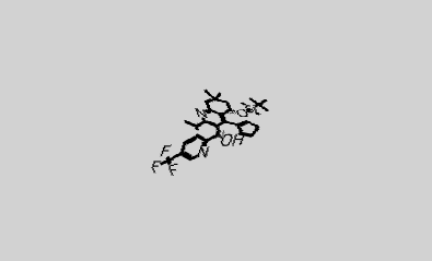 CC(C)c1nc2c(c(C3=CCCC3)c1[C@H](O)c1ccc(C(F)(F)F)cn1)[C@@H](O[Si](C)(C)C(C)(C)C)CC(C)(C)C2